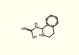 N=C(S)NC1NCCc2ccccc21